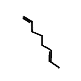 [CH]=CCCC/C=C/C